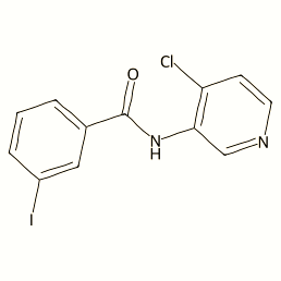 O=C(Nc1cnccc1Cl)c1cccc(I)c1